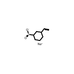 C=CC1CCCC(S(=O)[O-])C1.[Na+]